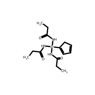 CCC(=O)[NH][Zr]([NH]C(=O)CC)([NH]C(=O)CC)[C]1=CC=CC1